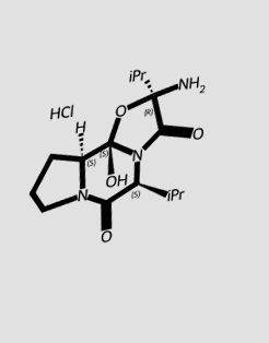 CC(C)[C@H]1C(=O)N2CCC[C@H]2[C@]2(O)O[C@](N)(C(C)C)C(=O)N12.Cl